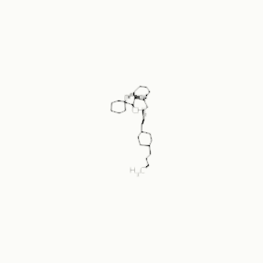 C=CCCC1CCC(/C=C/CCC2CCCCC2C(=C)C2(CCCCC)CCCCC2)CC1